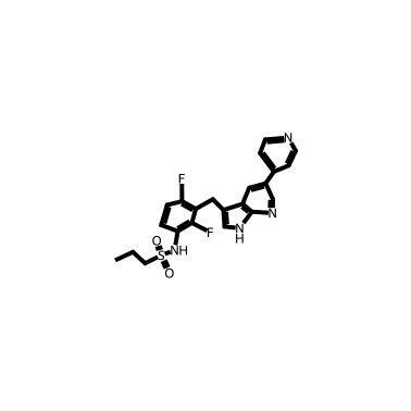 CCCS(=O)(=O)Nc1ccc(F)c(Cc2c[nH]c3ncc(-c4ccncc4)cc23)c1F